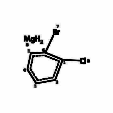 Clc1ccccc1Br.[MgH2]